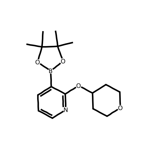 CC1(C)OB(c2cccnc2OC2CCOCC2)OC1(C)C